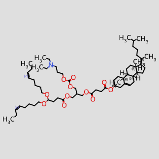 CC/C=C\CCCCOC(CCC(=O)OCC(COC(=O)CCC(=O)O[C@H]1CC[C@@]2(C)C(=CC[C@H]3[C@@H]4CC[C@H]([C@H](C)CCCC(C)C)[C@@]4(C)CC[C@@H]32)C1)COC(=O)OCCCN(CC)CC)OCCCC/C=C\CC